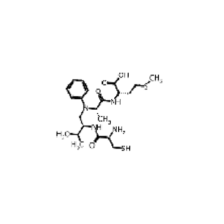 CSCC[C@H](NC(=O)[C@H](C)N(C[C@@H](NC(=O)[C@@H](N)CS)C(C)C)c1ccccc1)C(=O)O